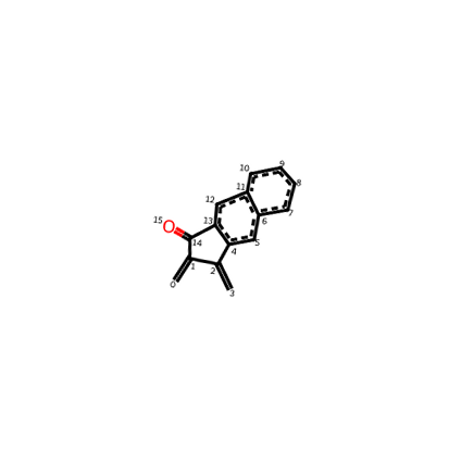 C=C1C(=C)c2cc3ccccc3cc2C1=O